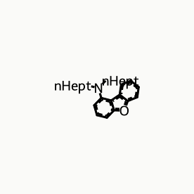 CCCCCCCN(CCCCCCC)c1cccc2oc3ccccc3c12